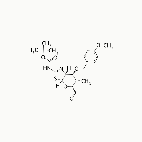 COc1ccc(CO[C@H]2[C@H](C)[C@@H](C=O)O[C@@H]3SC(NC(=O)OC(C)(C)C)=N[C@H]23)cc1